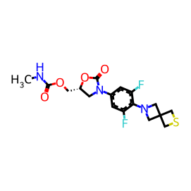 CNC(=O)OC[C@H]1CN(c2cc(F)c(N3CC4(CSC4)C3)c(F)c2)C(=O)O1